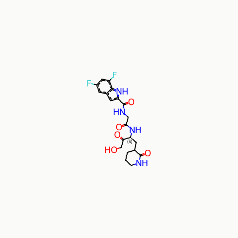 O=C(CNC(=O)c1cc2cc(F)cc(F)c2[nH]1)N[C@@H](CC1CCCNC1=O)C(=O)CO